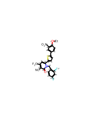 CCOc1ccc(-c2ccc(-c3cc(C(F)(F)F)c(C#N)c(=O)n3Cc3ccc(F)cc3F)s2)cc1[N+](=O)[O-]